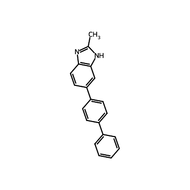 Cc1nc2ccc(-c3ccc(-c4ccccc4)cc3)cc2[nH]1